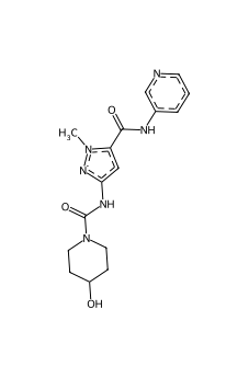 Cn1nc(NC(=O)N2CCC(O)CC2)cc1C(=O)Nc1cccnc1